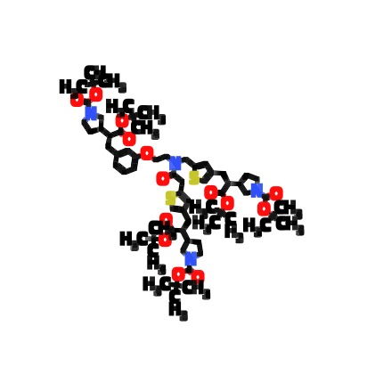 CC(C)(C)OC(=O)[C@@H](Cc1cccc(OCCN(Cc2cc(C[C@H](C(=O)OC(C)(C)C)[C@H]3CCN(C(=O)OC(C)(C)C)C3)cs2)C(=O)Cc2cc(C[C@H](C(=O)OC(C)(C)C)[C@H]3CCN(C(=O)OC(C)(C)C)C3)cs2)c1)[C@H]1CCN(C(=O)OC(C)(C)C)C1